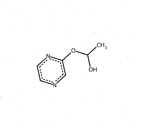 CC(O)Oc1cnccn1